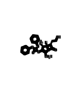 C[C@H]1C(OP(=O)(Oc2ccccc2)Oc2ccccc2)=C(C(=O)O)N2C(=O)[C@@H](CCO)[C@@H]12